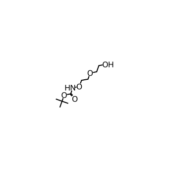 CC(C)(C)OC(=O)NOCCOCCO